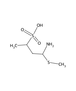 CSC(N)CC(C)S(=O)(=O)O